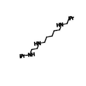 CC(C)CNCCCCCNCCNC(C)C